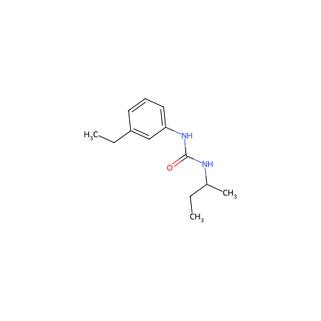 CCc1cccc(NC(=O)NC(C)CC)c1